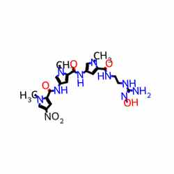 Cn1cc(NC(=O)c2cc(NC(=O)c3cc([N+](=O)[O-])cn3C)cn2C)cc1C(=O)NCCNC(N)=NO